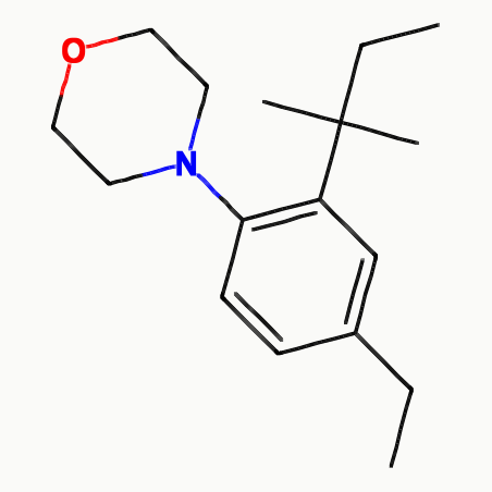 CCc1ccc(N2CCOCC2)c(C(C)(C)CC)c1